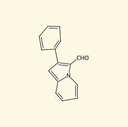 O=Cc1c(-c2ccccc2)cc2ccccn12